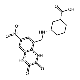 O=C(O)[C@@H]1CCC[C@H](NCc2cc([N+](=O)[O-])cc3[nH]c(=O)c(=O)[nH]c23)C1